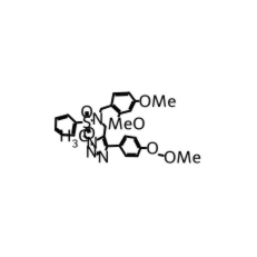 COCOc1ccc(-c2nnn(C)c2CN(Cc2ccc(OC)cc2OC)S(=O)(=O)c2ccccc2)cc1